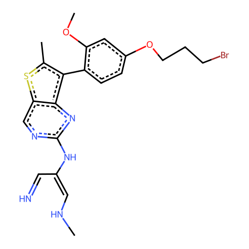 CN/C=C(\C=N)Nc1ncc2sc(C)c(-c3ccc(OCCCBr)cc3OC)c2n1